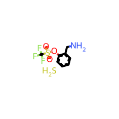 NCc1ccccc1OS(=O)(=O)C(F)(F)F.S